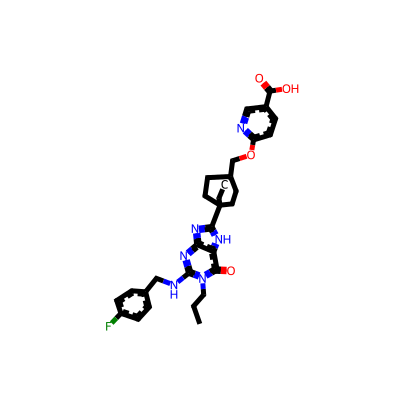 CCCn1c(NCc2ccc(F)cc2)nc2nc(C34CCC(COc5ccc(C(=O)O)cn5)(CC3)CC4)[nH]c2c1=O